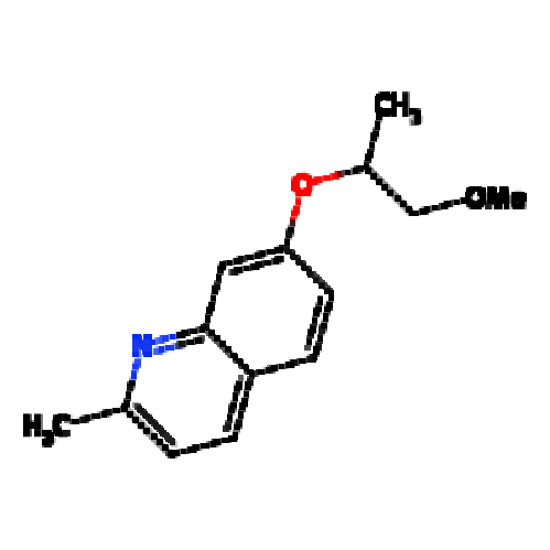 COCC(C)Oc1ccc2ccc(C)nc2c1